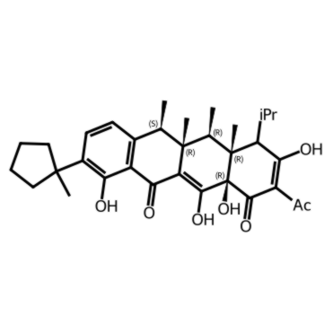 CC(=O)C1=C(O)C(C(C)C)[C@@]2(C)[C@H](C)[C@]3(C)C(=C(O)[C@@]2(O)C1=O)C(=O)c1c(ccc(C2(C)CCCC2)c1O)[C@H]3C